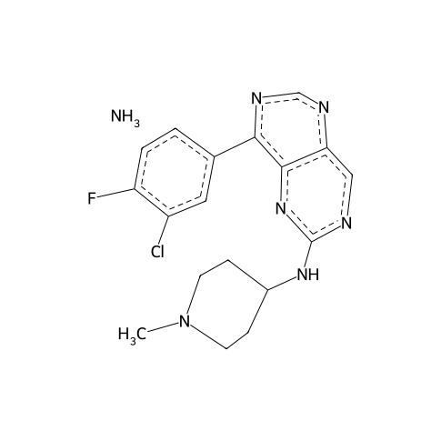 CN1CCC(Nc2ncc3ncnc(-c4ccc(F)c(Cl)c4)c3n2)CC1.N